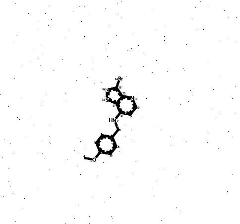 COc1ccc(CNc2ccnc3c(Br)nsc23)cc1